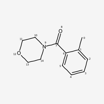 Cc1ccccc1C(=O)N1CCOCC1